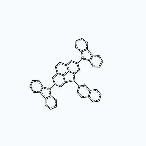 c1ccc2nc(-n3c4cc(-n5c6ccccc6c6ccccc65)cc5ccc6cc(-n7c8ccccc8c8ccccc87)cc3c6c54)ccc2c1